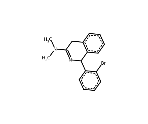 CN(C)C1=NC(c2ccccc2Br)c2ccccc2C1